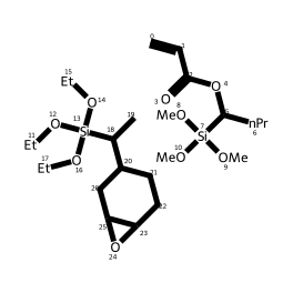 C=CC(=O)OC(CCC)[Si](OC)(OC)OC.CCO[Si](OCC)(OCC)C(C)C1CCC2OC2C1